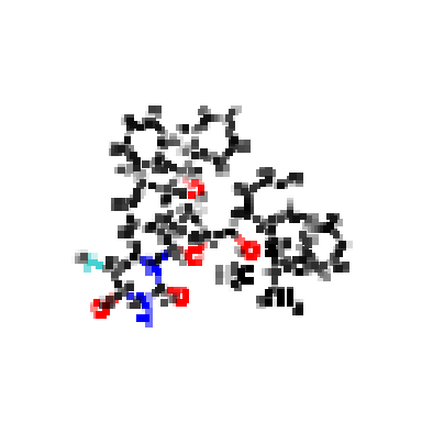 CC(C)(C)[Si](OC[C@H]1O[C@@H](n2cc(F)c(=O)[nH]c2=O)C[C@@H]1OC(c1ccccc1)(c1ccccc1)c1ccccc1)(c1ccccc1)c1ccccc1